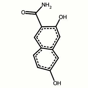 NC(=O)c1cc2ccc(O)cc2cc1O